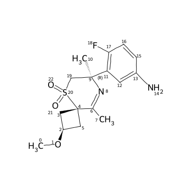 CO[C@H]1C[C@]2(C1)C(C)=N[C@](C)(c1cc(N)ccc1F)CS2(=O)=O